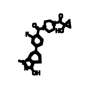 Cn1nc(O)c2ccc(-c3ccc(C(=O)N4CCN(C(=O)C5(O)CC5)CC4)c(F)c3)cc21